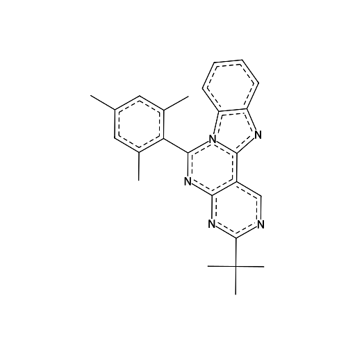 Cc1cc(C)c(-c2nc3nc(C(C)(C)C)ncc3c3nc4ccccc4n23)c(C)c1